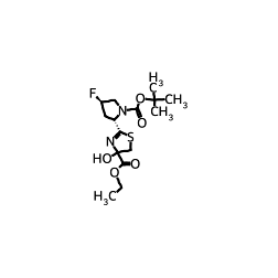 CCOC(=O)C1(O)CSC([C@@H]2C[C@@H](F)CN2C(=O)OC(C)(C)C)=N1